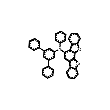 c1ccc(-c2cc(-c3ccccc3)cc(N(c3ccccc3)c3cc4c5ccccc5sc4c4oc5ccccc5c34)c2)cc1